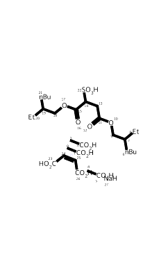 CC(=O)O.CC(=O)O.CC(=O)O.CCCCC(CC)COC(=O)CC(C(=O)OCC(CC)CCCC)S(=O)(=O)O.O=C(O)/C=C\C(=O)O.[NaH]